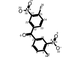 O=C(c1ccc(F)c([N+](=O)[O-])c1)c1ccc(F)c([N+](=O)[O-])c1